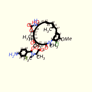 COc1cc2cc(c1Cl)N(C)C(=O)C[C@H](OC(=O)[C@H](C)N(C)C(=O)c1ccc(N)cc1F)[C@]1(C)O[C@H]1[C@H](C)[C@@H]1C[C@](O)(C/C=C/C=C(\C)C2)NC(=O)O1